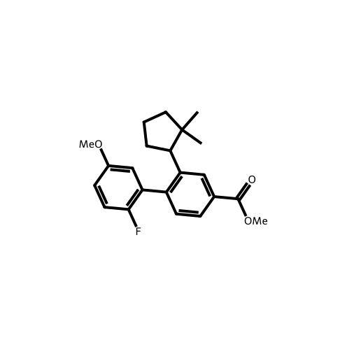 COC(=O)c1ccc(-c2cc(OC)ccc2F)c(C2CCCC2(C)C)c1